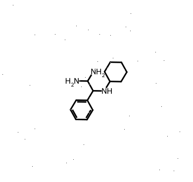 NC(N)C(NC1CCCCC1)c1ccccc1